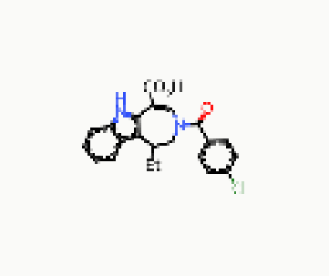 CCC1CN(C(=O)c2ccc(Cl)cc2)C=C(C(=O)O)c2[nH]c3ccccc3c21